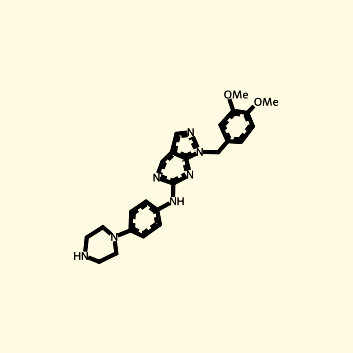 COc1ccc(Cn2ncc3cnc(Nc4ccc(N5CCNCC5)cc4)nc32)cc1OC